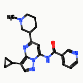 CN1CCCC(c2cc(NC(=O)c3cccnc3)n3ncc(C4CC4)c3n2)C1